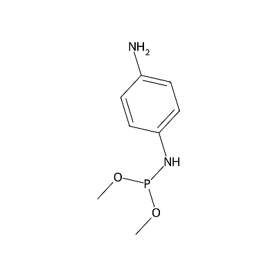 COP(Nc1ccc(N)cc1)OC